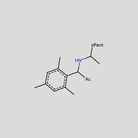 CCCCCC(C)NC(C(C)=O)c1c(C)cc(C)cc1C